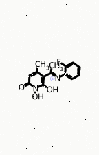 C/C(=N\c1ccccc1F)c1c(C)cc(=O)n(O)c1O